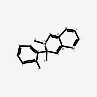 Cc1ccccc1C1(C)C=c2ncccc2=CN1C